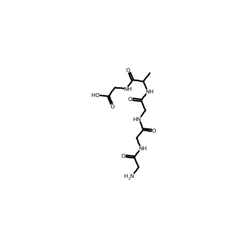 CC(NC(=O)CNC(=O)CNC(=O)CN)C(=O)NCC(=O)O